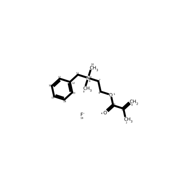 C=C(C)C(=O)OCC[N+](C)(C)Cc1ccccc1.[F-]